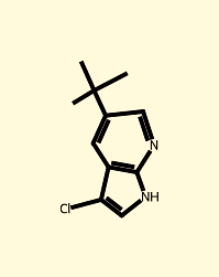 CC(C)(C)c1cnc2[nH]cc(Cl)c2c1